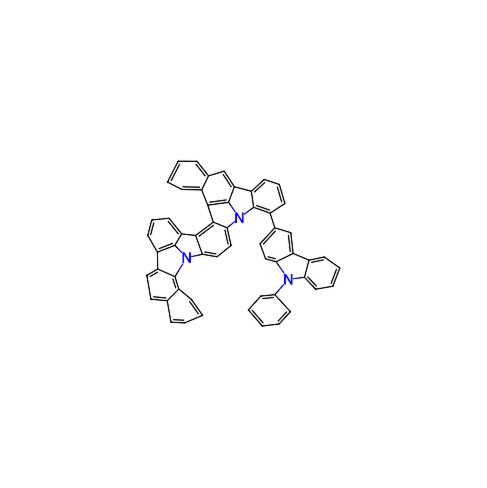 c1ccc(-n2c3ccccc3c3cc(-c4cccc5c6cc7ccccc7c7c8c9c%10cccc%11c%12ccc%13ccccc%13c%12n(c9ccc8n(c45)c67)c%11%10)ccc32)cc1